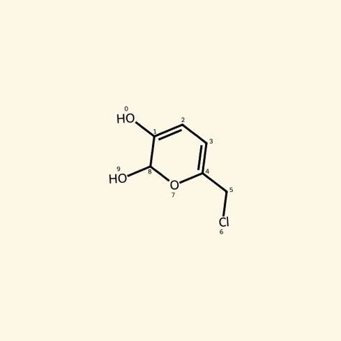 OC1=CC=C(CCl)OC1O